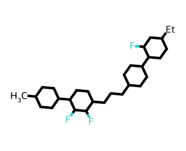 CCC1CCC(C2CCC(CCCC3CCC(C4CCC(C)CC4)C(F)C3F)CC2)C(F)C1